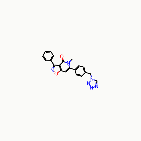 Cn1c(-c2ccc(Cn3cnnn3)cc2)cc2onc(-c3ccccc3)c2c1=O